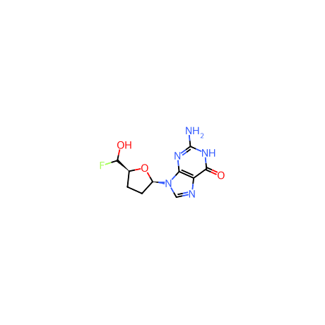 Nc1nc2c(ncn2[C@H]2CC[C@@H](C(O)F)O2)c(=O)[nH]1